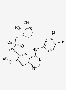 CCOc1cc2ncnc(Nc3ccc(F)c(Cl)c3)c2cc1NS(=O)(=O)CC1CCSS1(O)O